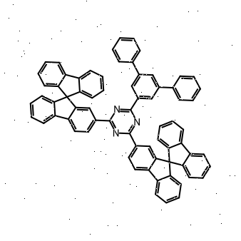 c1ccc(-c2cc(-c3ccccc3)cc(-c3nc(-c4ccc5c(c4)C4(c6ccccc6-c6ccccc64)c4ccccc4-5)nc(-c4ccc5c(c4)C4(c6ccccc6-c6ccccc64)c4ccccc4-5)n3)c2)cc1